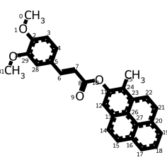 COc1ccc(C=CC(=O)Oc2cc3ccc4cccc5ccc(c2C)c3c45)cc1OC